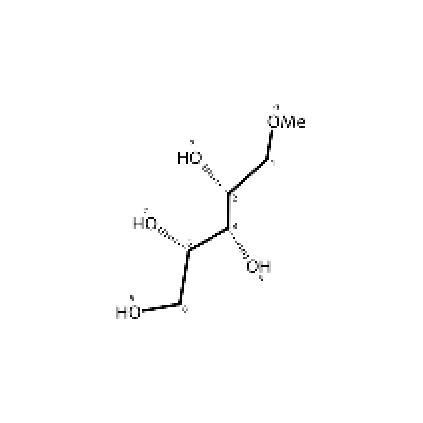 COC[C@@H](O)[C@H](O)[C@@H](O)CO